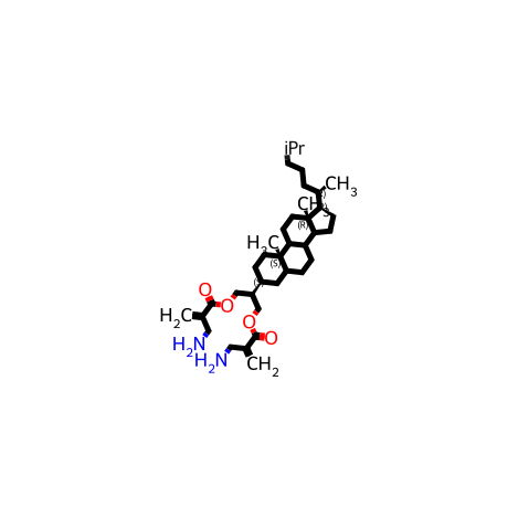 C=C(CN)C(=O)OCC(COC(=O)C(=C)CN)[C@H]1CC[C@@]2(C)C(CCC3C2CC[C@@]2(C)C3CC[C@@H]2[C@H](C)CCCC(C)C)C1